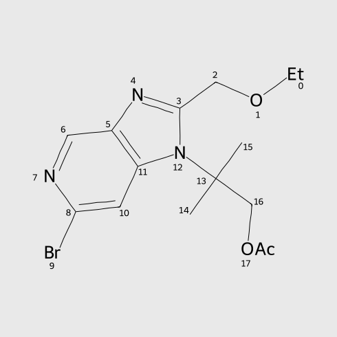 CCOCc1nc2cnc(Br)cc2n1C(C)(C)COC(C)=O